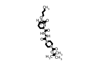 CCCCON1C(=O)N2C[C@@H]1CC[C@H]2C(=O)NNC(=O)N1CCN(C(=O)OC(C)(C)C)CC1